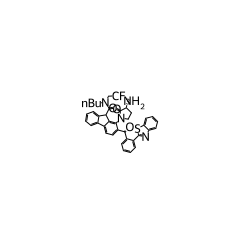 CCCCN(CC(F)(F)F)C(=O)C1c2ccccc2-c2ccc(C(=O)c3ccccc3-c3nc4ccccc4s3)c(N3CCC(N)C3=O)c21